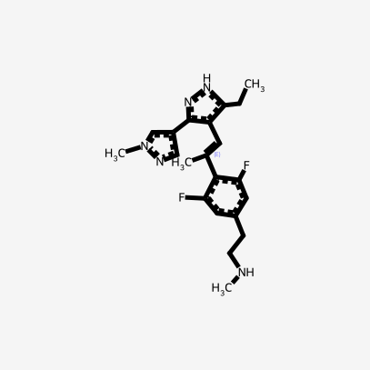 CCc1[nH]nc(-c2cnn(C)c2)c1/C=C(\C)c1c(F)cc(CCNC)cc1F